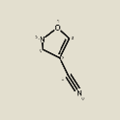 N#CC1=CO[N]C1